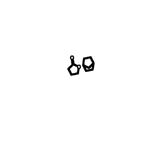 C1CC2CCC1C2.O=C1CCCO1